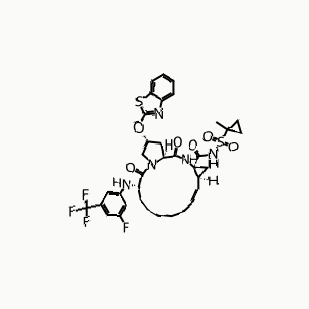 CC1(S(=O)(=O)NC(=O)[C@@]23C[C@H]2/C=C\CCCCC[C@H](Nc2cc(F)cc(C(F)(F)F)c2)C(=O)N2C[C@H](Oc4nc5ccccc5s4)C[C@H]2C(=O)N3)CC1